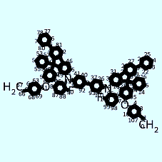 C=Cc1ccc(Oc2ccc(C3(c4ccccc4)c4cc(-c5ccccc5)ccc4-c4ccc(N(c5ccc(-c6ccc(N(c7ccc8c(c7)C(c7ccccc7)(c7ccc(Oc9ccc(C=C)cc9)cc7)c7cc(-c9ccccc9)ccc7-8)c7ccccc7F)cc6)cc5)c5ccccc5F)cc43)cc2)cc1